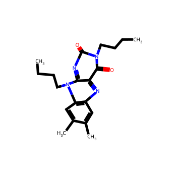 CCCCn1c(=O)nc2n(CCCC)c3cc(C)c(C)cc3nc-2c1=O